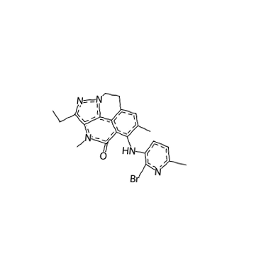 CCc1nn2c3c4c(cc(C)c(Nc5ccc(C)nc5Br)c4c(=O)n(C)c13)CC2